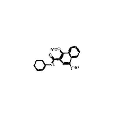 COc1c(C(=O)NC2CCCCC2)cc(C=O)c2ccccc12